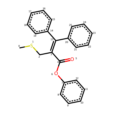 CSCC(C(=O)Oc1ccccc1)=C(c1ccccc1)c1ccccc1